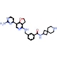 Nc1nccc(-c2cnc(NCc3cccc(C(=O)NC4CC5(CCNCC5)C4)c3)c3c2OCC3)n1